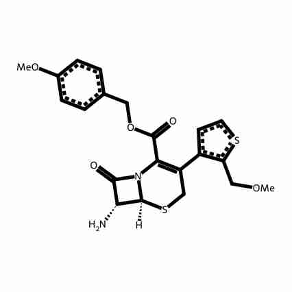 COCc1sccc1C1=C(C(=O)OCc2ccc(OC)cc2)N2C(=O)[C@@H](N)[C@@H]2SC1